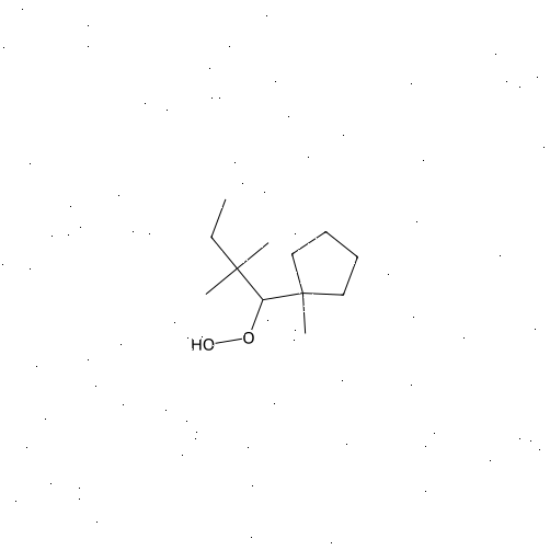 CCC(C)(C)C(OO)C1(C)CCCC1